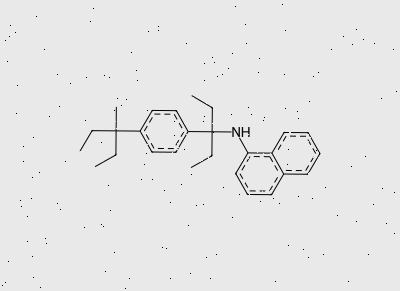 CCC(C)(CC)c1ccc(C(CC)(CC)Nc2cccc3ccccc23)cc1